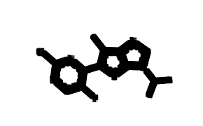 Cc1c(-c2nc(Cl)ncc2F)sc2c1ncn2C(C)C